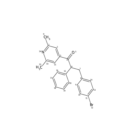 Cc1cc(C(=O)C(Cc2ccc(Br)cc2)c2ccccc2)cc(C)n1